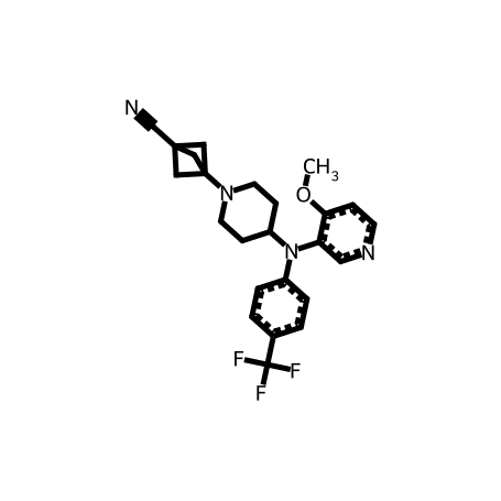 COc1ccncc1N(c1ccc(C(F)(F)F)cc1)C1CCN(C23CC(C#N)(C2)C3)CC1